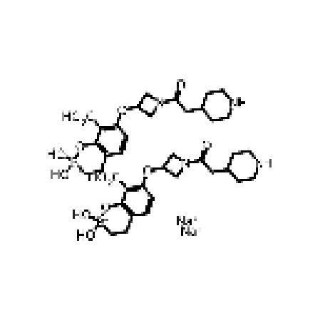 O=C(O)c1c(OC2CN(C(=O)CC3CCNCC3)C2)ccc2c1O[B-](O)(O)CC2.O=C(O)c1c(OC2CN(C(=O)CC3CCNCC3)C2)ccc2c1O[B-](O)(O)CC2.[Na+].[Na+]